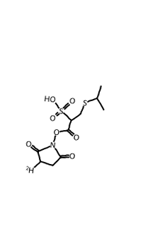 [2H]C1CC(=O)N(OC(=O)C(CSC(C)C)S(=O)(=O)O)C1=O